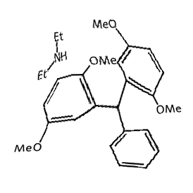 CCNCC.COc1ccc(OC)c(C(c2ccccc2)c2cc(OC)ccc2OC)c1